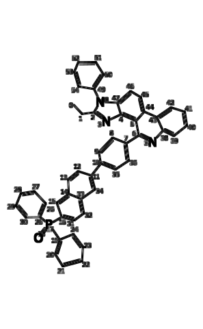 CCc1nc2c3c(-c4ccc(-c5ccc6cc(P(=O)(c7ccccc7)c7ccccc7)ccc6c5)cc4)nc4ccccc4c3ccc2n1-c1ccccc1